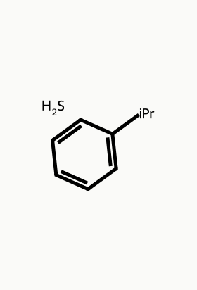 CC(C)c1ccccc1.S